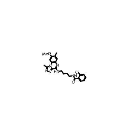 COc1cc2c(cc1C)nc(NCCCCNC(=O)c1ccccc1Cl)c1nnc(C)n12